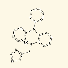 CN(Cn1cncn1)c1ccccc1P(c1ccccc1)c1ccccc1